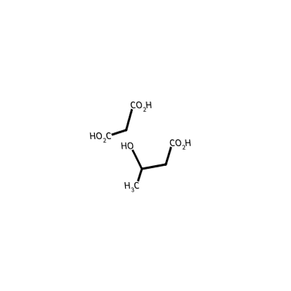 CC(O)CC(=O)O.O=C(O)CC(=O)O